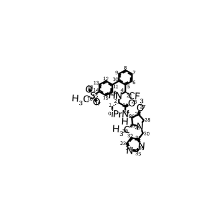 CC(C)C[C@H](N[C@@H](c1ccccc1-c1ccc(S(C)(=O)=O)cc1)C(F)(F)F)C(=O)N[C@@H]1C(=O)CN(Cc2ccncn2)C1C